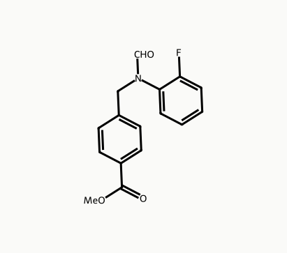 COC(=O)c1ccc(CN(C=O)c2ccccc2F)cc1